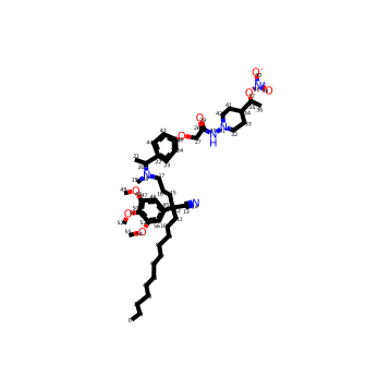 CCCCCCCCCCCCC(C#N)(CCCN(C)C(C)c1ccc(OCC(=O)NN2CCC(C(C)O[N+](=O)[O-])CC2)cc1)c1cc(OC)c(OC)c(OC)c1